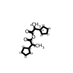 CC(C(=O)OC(=O)C(C)C1CCCC1)C1CCCC1